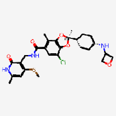 CSc1cc(C)[nH]c(=O)c1CNC(=O)c1cc(Cl)c2c(c1C)O[C@@](C)([C@H]1CC[C@@H](NC3COC3)CC1)O2